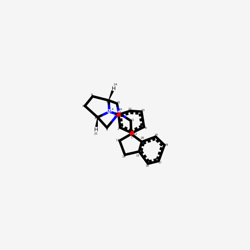 c1ccc(N2[C@@H]3CC[C@H]2CN(CC2CCc4ccccc42)C3)cc1